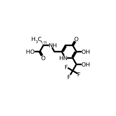 C[C@H](NCc1cc(=O)c(O)c(C(O)C(F)(F)F)[nH]1)C(=O)O